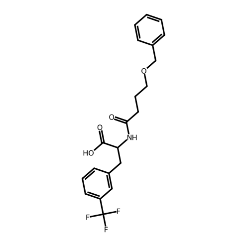 O=C(CCCOCc1ccccc1)NC(Cc1cccc(C(F)(F)F)c1)C(=O)O